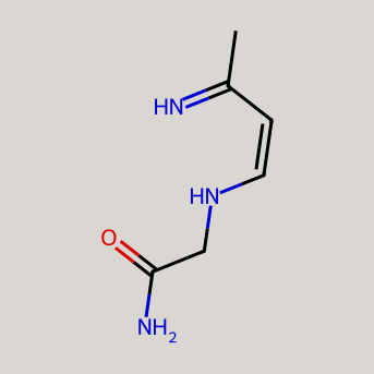 CC(=N)/C=C\NCC(N)=O